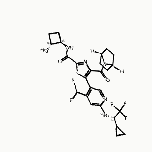 O=C(N[C@@H]1CC[C@H]1O)c1nc(C(=O)N2[C@H]3CC[C@@H]2CC3)c(-c2cnc(N[C@@H](C3CC3)C(F)(F)F)cc2C(F)F)s1